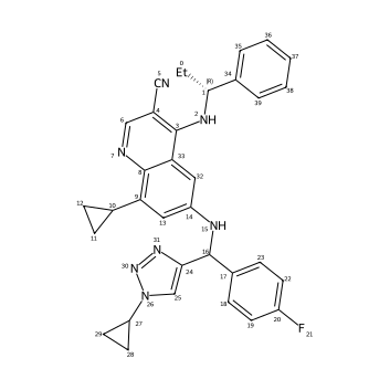 CC[C@@H](Nc1c(C#N)cnc2c(C3CC3)cc(NC(c3ccc(F)cc3)c3cn(C4CC4)nn3)cc12)c1ccccc1